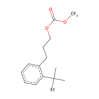 CCC(C)(C)c1ccccc1CCCOC(=O)OC(F)(F)F